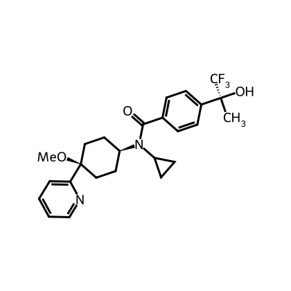 CO[C@]1(c2ccccn2)CC[C@H](N(C(=O)c2ccc([C@](C)(O)C(F)(F)F)cc2)C2CC2)CC1